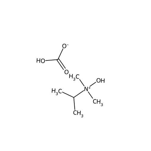 CC(C)[N+](C)(C)O.O=C([O-])O